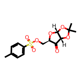 Cc1ccc(S(=O)(=O)OC[C@H]2O[C@@H]3OC(C)(C)O[C@@H]3C2=O)cc1